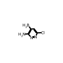 Bc1cc(Cl)nnc1N